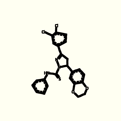 S=C(Nc1ccccc1)N1N=C(c2ccc(Cl)c(Cl)c2)CC1c1ccc2c(c1)OCCO2